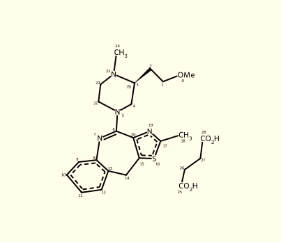 COCC[C@H]1CN(C2=Nc3ccccc3Cc3sc(C)nc32)CCN1C.O=C(O)CCC(=O)O